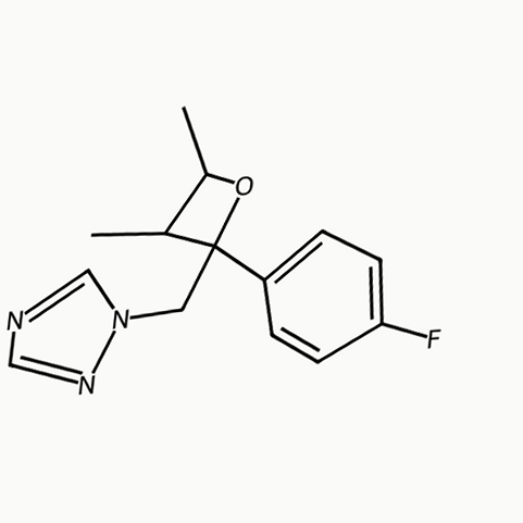 CC1OC(Cn2cncn2)(c2ccc(F)cc2)C1C